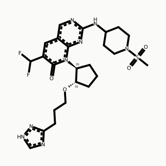 CS(=O)(=O)N1CCC(Nc2ncc3cc(C(F)F)c(=O)n([C@H]4CCC[C@@H]4OCCCc4nc[nH]n4)c3n2)CC1